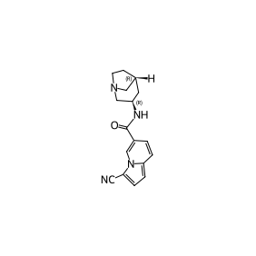 N#Cc1ccc2ccc(C(=O)N[C@@H]3C[C@H]4CCN(C4)C3)cn12